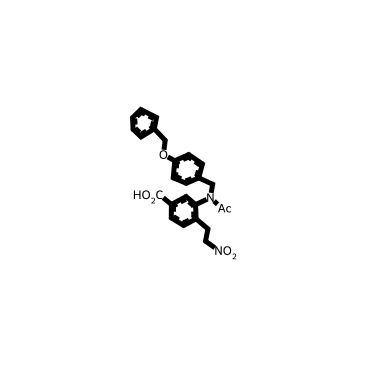 CC(=O)N(Cc1ccc(OCc2ccccc2)cc1)c1cc(C(=O)O)ccc1CC[N+](=O)[O-]